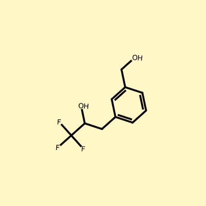 OCc1cccc(CC(O)C(F)(F)F)c1